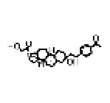 CC(=O)c1ccc(CCC2(O)CC[C@@]3(C)C(CC[C@H]4[C@@H]5CC[C@H](C(=O)CO)[C@@]5(C)CC[C@@H]43)C2)cc1